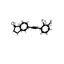 O=C1CCc2cc(C#Cc3cccc(F)c3F)ccc21